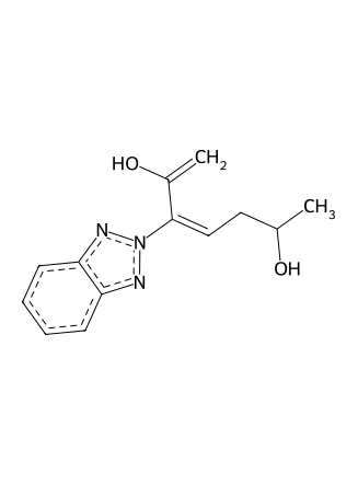 C=C(O)/C(=C\CC(C)O)n1nc2ccccc2n1